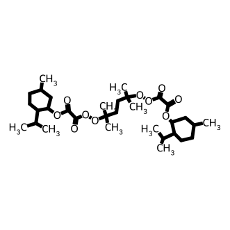 CC1CCC(C(C)C)C(OC(=O)C(=O)OOC(C)(C)CCC(C)(C)OOC(=O)C(=O)OC2CC(C)CCC2C(C)C)C1